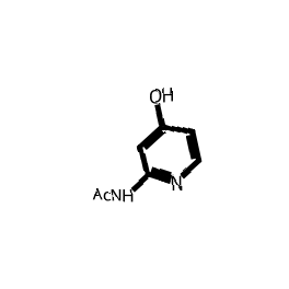 CC(=O)Nc1cc(O)ccn1